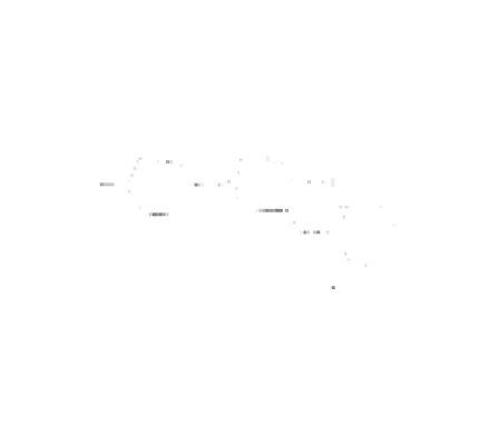 CC(C)Nc1nc2ccc(-c3ccc(=O)[nH]c3)cc2cc1C(N)=O